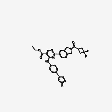 CCOC(=O)c1cnc(-c2ccc3c(c2)CN(C(=O)C2CC(F)(F)C2)C3)nc1Nc1ccc(-c2cn[nH]c2)cc1